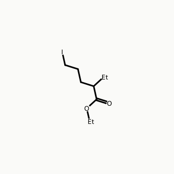 CCOC(=O)C(CC)CCCI